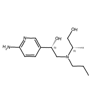 CCCN(C[C@@H](O)c1ccc(N)nc1)[C@@H](C)CO